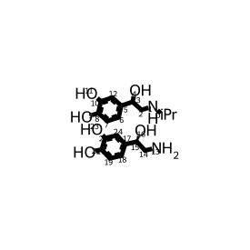 CC(C)NCC(O)c1ccc(O)c(O)c1.NC[C@H](O)c1ccc(O)c(O)c1